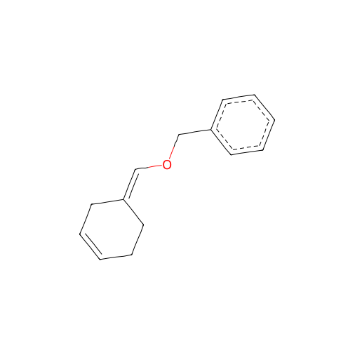 C1=CCC(=COCc2ccccc2)CC1